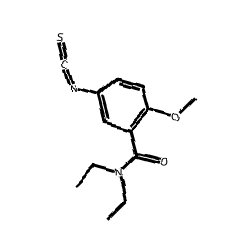 CCN(CC)C(=O)c1cc(N=C=S)ccc1OC